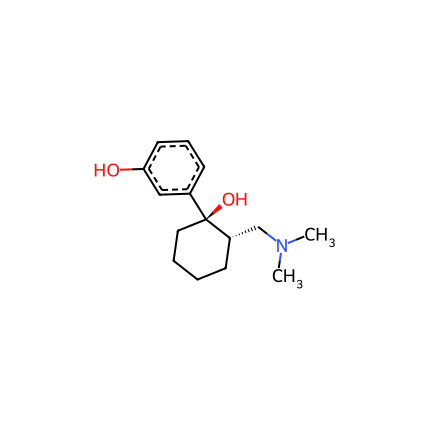 CN(C)C[C@@H]1CCCC[C@]1(O)c1cccc(O)c1